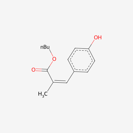 CCCCOC(=O)C(C)=Cc1ccc(O)cc1